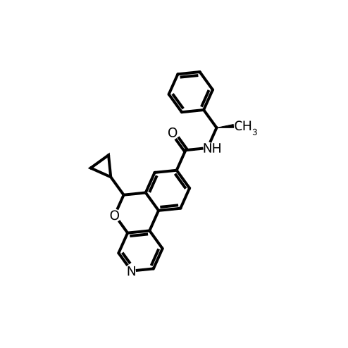 C[C@@H](NC(=O)c1ccc2c(c1)C(C1CC1)Oc1cnccc1-2)c1ccccc1